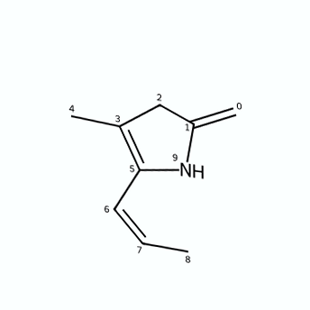 C=C1CC(C)=C(/C=C\C)N1